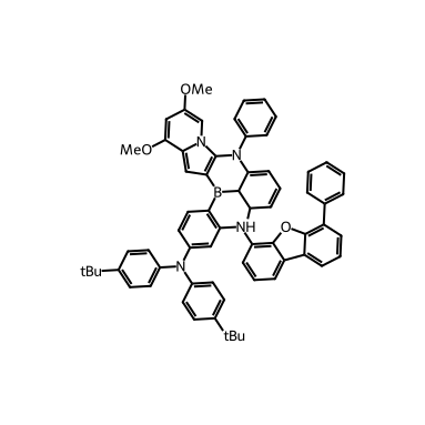 COc1cc(OC)c2cc3c(n2c1)N(c1ccccc1)C1=CC=CC(C)C1B3c1ccc(N(c2ccc(C(C)(C)C)cc2)c2ccc(C(C)(C)C)cc2)cc1Nc1cccc2c1oc1c(-c3ccccc3)cccc12